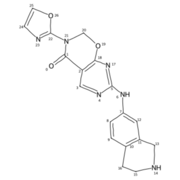 O=C1c2cnc(Nc3ccc4c(c3)CNCC4)nc2OCN1c1ncco1